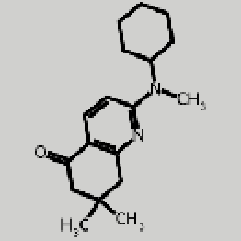 CN(c1ccc2c(n1)CC(C)(C)CC2=O)C1CCCCC1